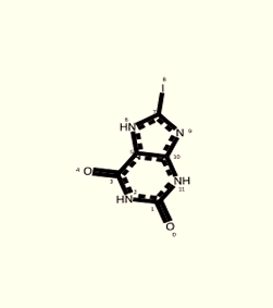 O=c1[nH]c(=O)c2[nH]c(I)nc2[nH]1